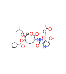 COc1ccnc(C(=O)NC2CCC[C@H](OC(=O)C3CCCC3)[C@@H](OCC(C)C)[C@H](C)OC2=O)c1OCOC(C)=O